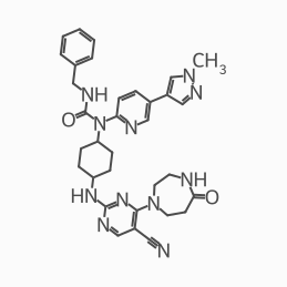 Cn1cc(-c2ccc(N(C(=O)NCc3ccccc3)C3CCC(Nc4ncc(C#N)c(N5CCNC(=O)CC5)n4)CC3)nc2)cn1